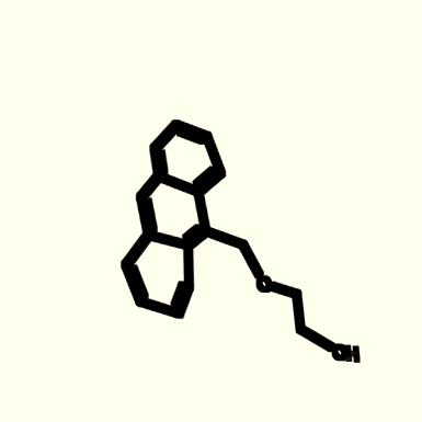 OCCOCc1c2ccccc2cc2ccccc12